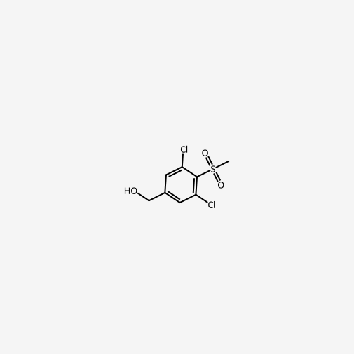 CS(=O)(=O)c1c(Cl)cc(CO)cc1Cl